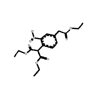 CCOC(=O)Cc1ccc(C(C(=O)OCC)C(=O)OCC)c([N+](=O)[O-])c1